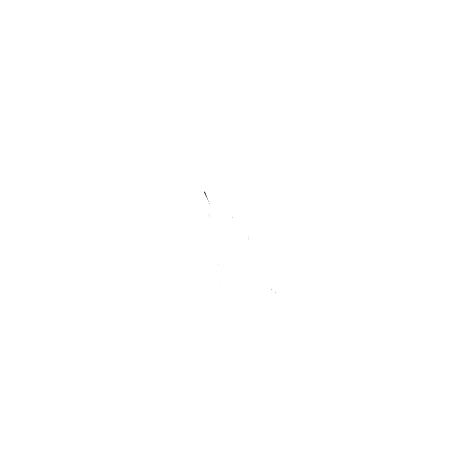 C=C[C@@H]1CCN(C(C)=O)C(C#N)C(=O)C1(C)C